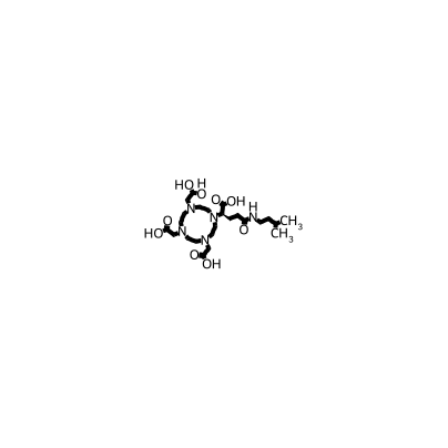 CC(C)CCNC(=O)CC[C@H](C(=O)O)N1CCN(CC(=O)O)CCN(CC(=O)O)CCN(CC(O)O)CC1